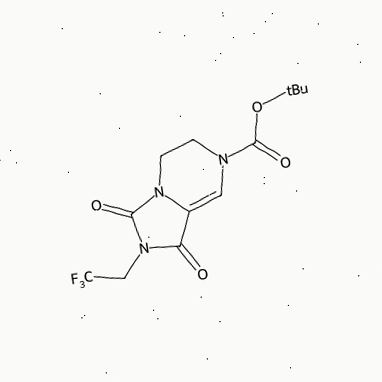 CC(C)(C)OC(=O)N1C=C2C(=O)N(CC(F)(F)F)C(=O)N2CC1